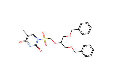 Cc1cn(S(=O)(=O)COC(COCc2ccccc2)COCc2ccccc2)c(=O)[nH]c1=O